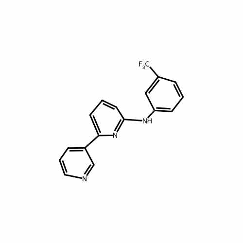 FC(F)(F)c1cccc(Nc2cccc(-c3cccnc3)n2)c1